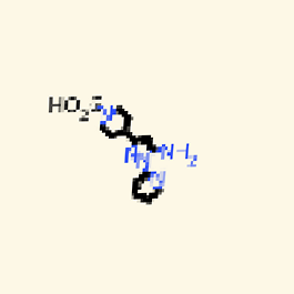 Nc1cc(C2CCN(C(=O)O)CC2)nn1-c1ccccn1